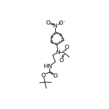 CC(C)(C)OC(=O)NCCN(c1ccc([N+](=O)[O-])cc1)S(C)(=O)=O